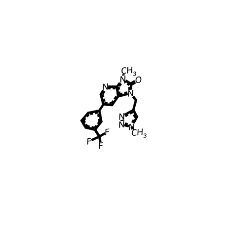 Cn1cc(Cn2c(=O)n(C)c3ncc(-c4cccc(C(F)(F)F)c4)cc32)nn1